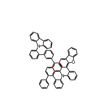 c1ccc(-c2ccccc2-c2ccccc2N(c2ccc(-c3cccc(-c4ccccc4-n4c5ccccc5c5ccccc54)c3)cc2)c2ccccc2-c2cccc3c2oc2ccccc23)cc1